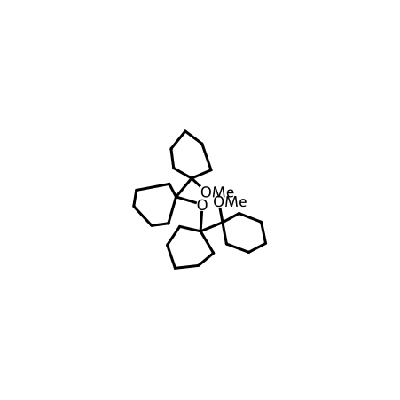 COC1(C2(OC3(C4(OC)CCCCC4)CCCCC3)CCCCC2)CCCCC1